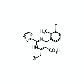 Cc1c(F)cccc1C1N=C(c2nccs2)NC(CBr)=C1C(=O)O